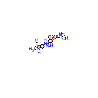 COc1cc2c(Nc3ccc4[nH]c(C)c(C)c4c3)ncnc2cc1OCCCn1ncnc1C